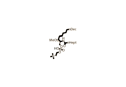 CCCCCCCCCCCCC/C=C/[C@@H](OC)[C@H](COP(=O)(O)OCC[N+](C)(C)C)NC(=O)CCCCCCC